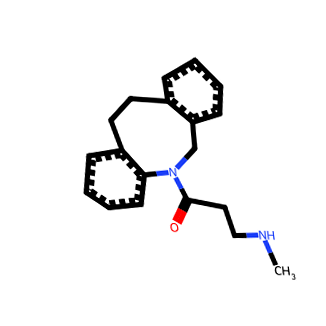 CNCCC(=O)N1Cc2ccccc2CCc2ccccc21